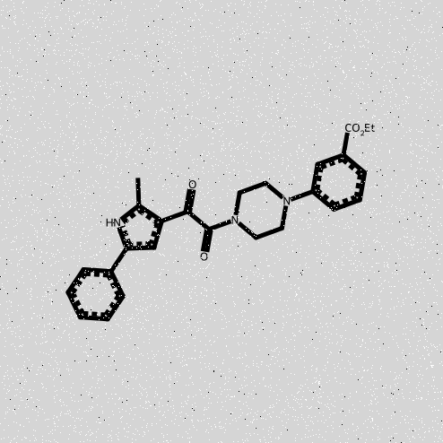 CCOC(=O)c1cccc(N2CCN(C(=O)C(=O)c3cc(-c4ccccc4)[nH]c3C)CC2)c1